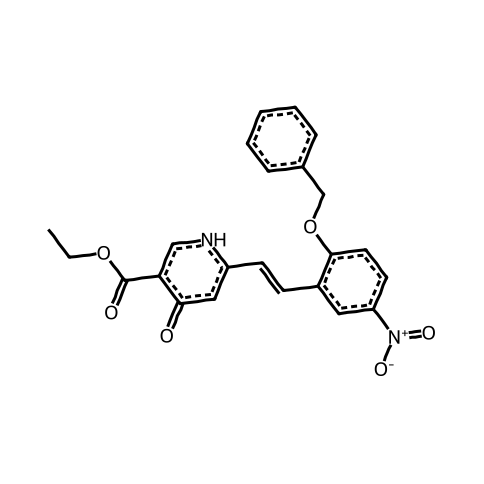 CCOC(=O)c1c[nH]c(C=Cc2cc([N+](=O)[O-])ccc2OCc2ccccc2)cc1=O